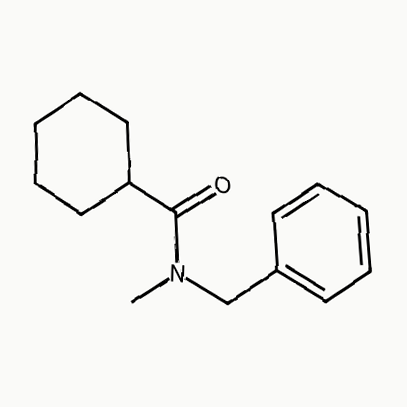 CN(Cc1ccccc1)C(=O)C1CCCCC1